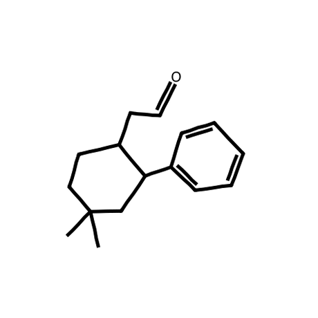 CC1(C)CCC(CC=O)C(c2ccccc2)C1